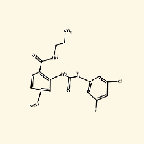 COc1ccc(C(=O)NCCN)c(NC(=O)Nc2cc(F)cc(Cl)c2)c1